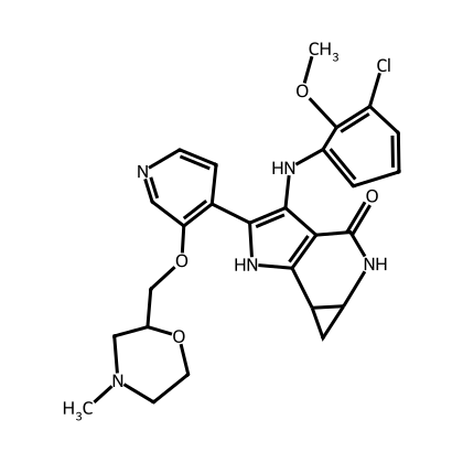 COc1c(Cl)cccc1Nc1c(-c2ccncc2OCC2CN(C)CCO2)[nH]c2c1C(=O)NC1CC21